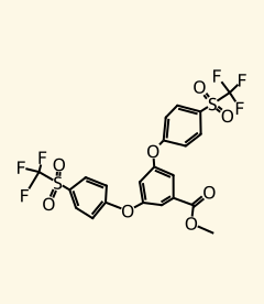 COC(=O)c1cc(Oc2ccc(S(=O)(=O)C(F)(F)F)cc2)cc(Oc2ccc(S(=O)(=O)C(F)(F)F)cc2)c1